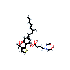 CCCCCC(C)CCc1cc(OC(=O)CCCN2CCOCC2)c2c(c1)OC(C)(C)C1=C2SCC1